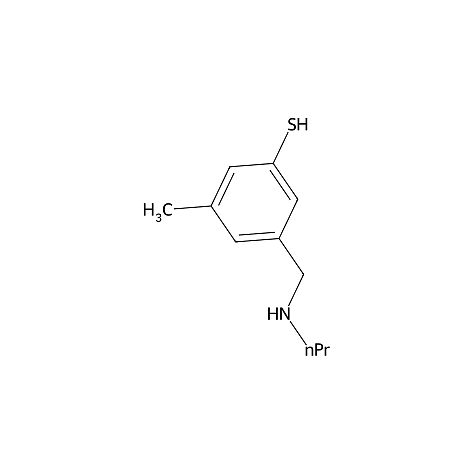 CCCNCc1cc(C)cc(S)c1